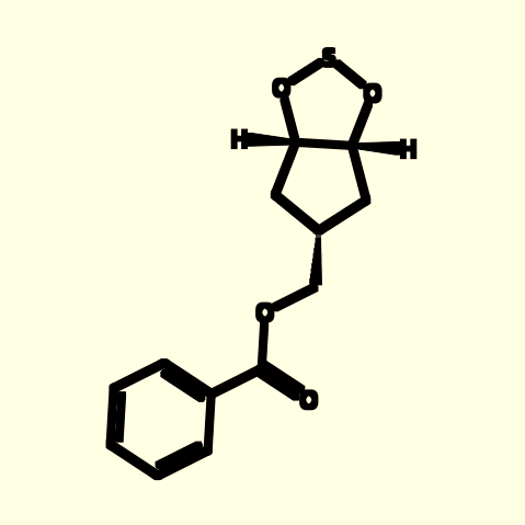 O=C(OC[C@@H]1C[C@@H]2OSO[C@@H]2C1)c1ccccc1